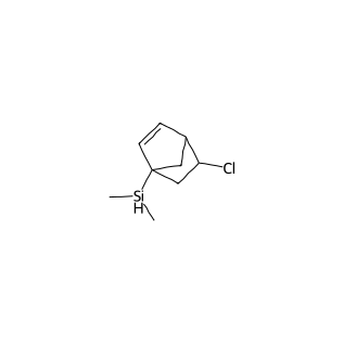 C[SiH](C)C12C=CC(C1)C(Cl)C2